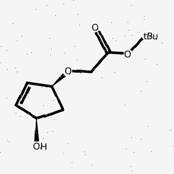 CC(C)(C)OC(=O)CO[C@@H]1C=C[C@H](O)C1